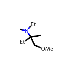 CCN(C)C(C)(CC)COC